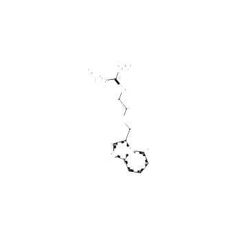 CN/C(=N/CCSCc1cnc2ccccn12)NC#N